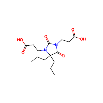 CCCC1(CCC)C(=O)N(CCC(=O)O)C(=O)N1CCC(=O)O